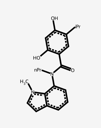 CCCN(C(=O)c1cc(C(C)C)c(O)cc1O)c1cccc2ccn(C)c12